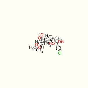 C[C@H](C(O)C(O)c1ccc(Cl)cc1)[C@H]1CC[C@H]2[C@@H]3CC4(OCCO4)[C@H]4C[C@@H]5OC(C)(C)O[C@@H]5C[C@]4(C)[C@H]3CC[C@]12C